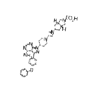 Nc1ncnc2c1c(-c1ccc(Oc3ccccc3)cc1)nn2C1CCN(C2CN(C3C[C@@H]4CN(C(=O)O)C[C@@H]4C3)C2)CC1